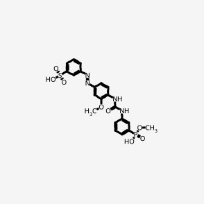 COc1cc(/N=N/c2cccc(S(=O)(=O)O)c2)ccc1NC(=O)Nc1cccc(P(=O)(O)OC)c1